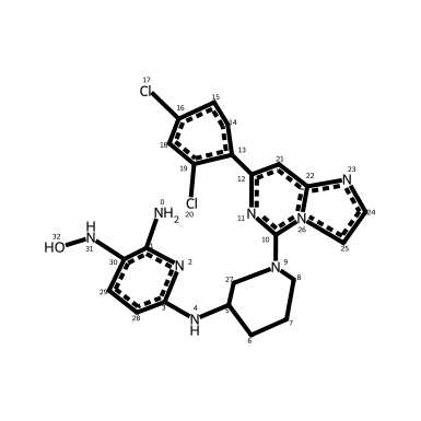 Nc1nc(NC2CCCN(c3nc(-c4ccc(Cl)cc4Cl)cc4nccn34)C2)ccc1NO